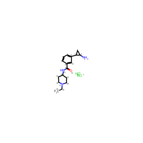 Cl.Cl.NC1CC1c1cccc(C(=O)NC2CCN(CC(F)(F)F)CC2)c1